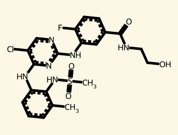 Cc1cccc(Nc2nc(Nc3cc(C(=O)NCCO)ccc3F)ncc2Cl)c1NS(C)(=O)=O